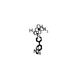 CC(C)(C)OC(=O)N1CC=C(c2ccc3ncnn3c2)CC1